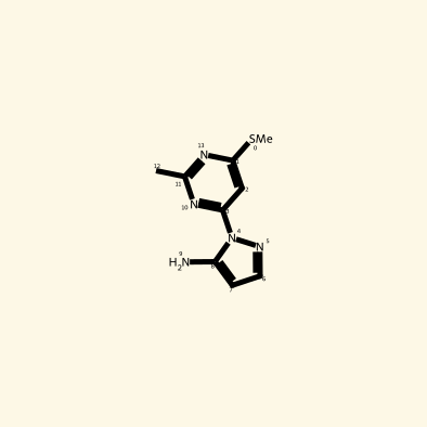 CSc1cc(-n2nccc2N)nc(C)n1